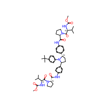 COC(=O)N[C@H](C(=O)N1CCCC1C(=O)Nc1ccc([C@@H]2CCC(c3ccc(NC(=O)[C@@H]4CCCN4C(=O)[C@@H](NC(=O)OC)C(C)C)cc3)N2c2ccc(C(C)(C)C)cc2)cc1)C(C)C